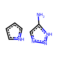 Nc1cnn[nH]1.c1cc[nH]c1